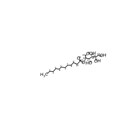 CCCCCCCCCCCC(=O)O[C@@H](C=O)[C@@H](O)[C@H](O)[C@H](O)CO